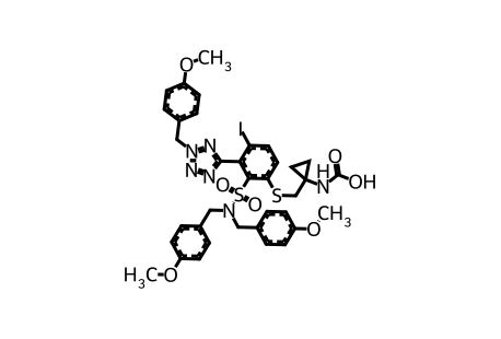 COc1ccc(CN(Cc2ccc(OC)cc2)S(=O)(=O)c2c(SCC3(NC(=O)O)CC3)ccc(I)c2-c2nnn(Cc3ccc(OC)cc3)n2)cc1